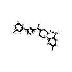 CC(=C1CCN(c2nc(C)ccc2[N+](=O)[O-])CC1)c1noc(-c2cccc(Cl)c2)n1